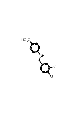 O=C(O)c1ccc(NCc2ccc(Cl)c(Cl)c2)cc1